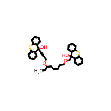 C=C/C(=C\C=C/CCOCC1(O)c2ccccc2Sc2ccccc21)OCC#CC1(O)c2ccccc2Sc2ccccc21